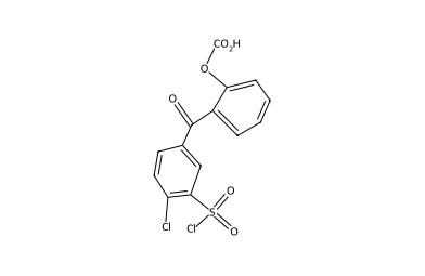 O=C(O)Oc1ccccc1C(=O)c1ccc(Cl)c(S(=O)(=O)Cl)c1